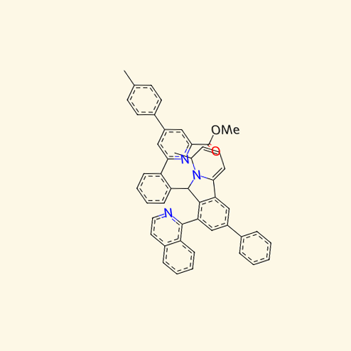 COC(=O)c1cc(-c2ccc(C)cc2)cc(-c2ccccc2C2c3c(cc(-c4ccccc4)cc3-c3nccc4ccccc34)C3=CC=CC(C)N32)n1